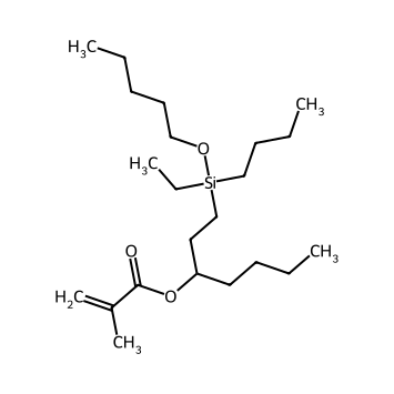 C=C(C)C(=O)OC(CCCC)CC[Si](CC)(CCCC)OCCCCC